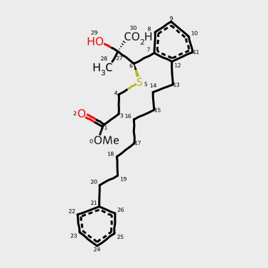 COC(=O)CCS[C@H](c1ccccc1CCCCCCCCc1ccccc1)[C@@](C)(O)C(=O)O